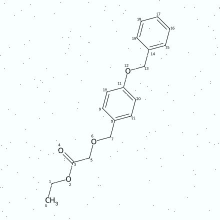 CCOC(=O)COCc1ccc(OCc2ccccc2)cc1